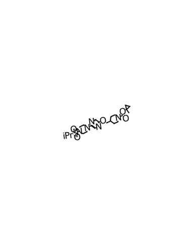 CC(C)S(=O)(=O)N1CCN(c2cnc(OCC3CCN(C(=O)OC4(C)CC4)CC3)cn2)CC1